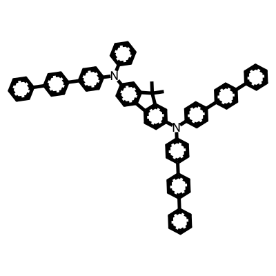 CC1(C)c2cc(N(c3ccccc3)c3ccc(-c4ccc(-c5ccccc5)cc4)cc3)ccc2-c2ccc(N(c3ccc(-c4ccc(-c5ccccc5)cc4)cc3)c3ccc(-c4ccc(-c5ccccc5)cc4)cc3)cc21